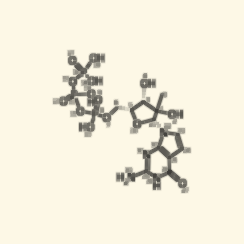 CC1(O)[C@@H](O)[C@@H](COP(=O)(O)OP(=O)(O)OP(=O)(O)O)O[C@H]1n1ccc2c(=O)[nH]c(N)nc21